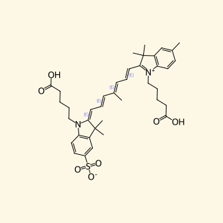 CC(/C=C/C=C1/N(CCCCC(=O)O)c2ccc(S(=O)(=O)[O-])cc2C1(C)C)=C\C=C\C1=[N+](CCCCC(=O)O)c2ccc(C)cc2C1(C)C